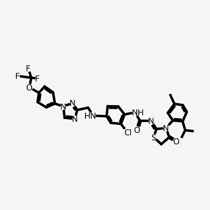 Cc1ccc(C(C)C)c(N2C(=O)CSC2=NC(=O)Nc2ccc(NCc3ncn(-c4ccc(OC(F)(F)F)cc4)n3)cc2Cl)c1